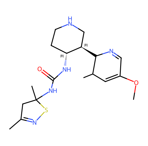 COC1=CC(C)C([C@@H]2CNCC[C@H]2NC(=O)NC2(C)CC(C)=NS2)N=C1